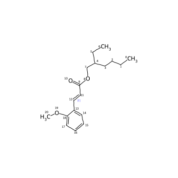 CCCCC(CC)COC(=O)/C=C/c1ccccc1OC